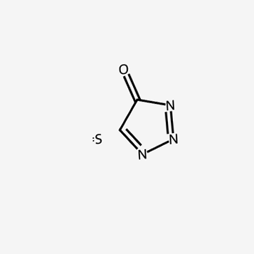 O=C1C=NN=N1.[S]